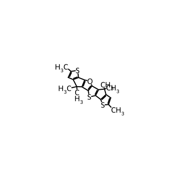 Cc1cc2c(s1)-c1oc3c4c(sc3c1C2(C)C)-c1sc(C)cc1C4(C)C